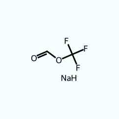 O=COC(F)(F)F.[NaH]